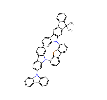 CC1(C)c2ccccc2-c2cc3c4ccccc4n(-c4cccc5c4sc4c(-n6c7ccccc7c7ccc(-n8c9ccccc9c9ccccc98)cc76)cccc45)c3cc21